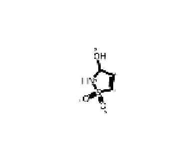 O=S1(=O)C=CC(O)N1